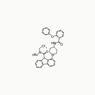 CCCCN(CC(F)(F)F)C(=O)C1c2ccccc2-c2cccc(N3CCC(NC(=O)c4ccccc4Oc4ccccc4)CC3)c21